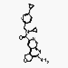 Nc1nc2cnc(C(=O)N(Cc3ccc(C4CC4)cn3)C3CC3)cc2c2c1COC2